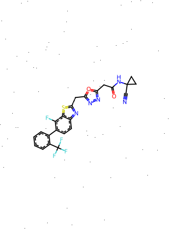 N#CC1(NC(=O)Cc2nnc(Cc3nc4ccc(-c5ccccc5C(F)(F)F)c(F)c4s3)o2)CC1